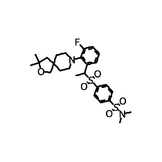 CC(c1cccc(F)c1N1CCC2(CC1)COC(C)(C)C2)S(=O)(=O)c1ccc(S(=O)(=O)N(C)C)cc1